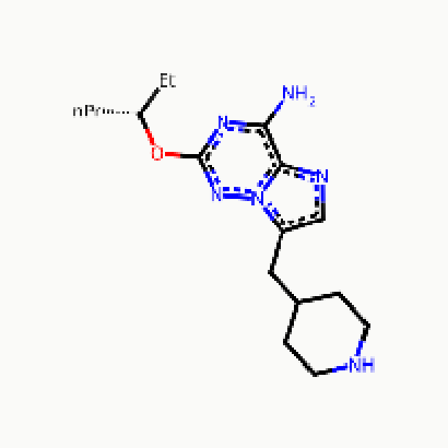 CCC[C@H](CC)Oc1nc(N)c2ncc(CC3CCNCC3)n2n1